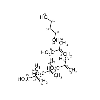 C=C(C)C(=O)O.C=C(C)C(=O)O.C=C(C)C(=O)O.C=C(C)C(=O)O.OCCCO